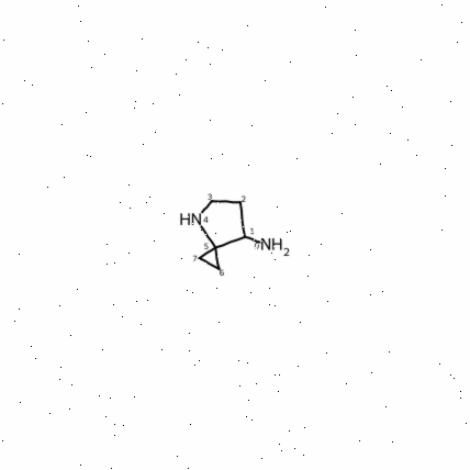 NC1CCNC12CC2